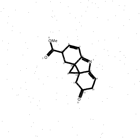 COC(=O)C1C=CC2=NC3=CCC(=O)CC34CC24C1